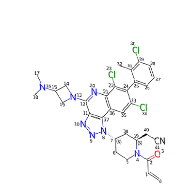 C=CC(=O)N1CC[C@H](n2nnc3c(N4CC(N(C)C)C4)nc4c(Cl)c(-c5cccc(Cl)c5C)c(Cl)cc4c32)C[C@H]1CC#N